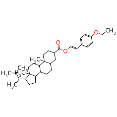 CCOc1ccc(/C=C/OC(=O)C2CCC3(C)C(CCC4C3CCC3(C)C(C(C)C(C)C)CCC43)C2)cc1